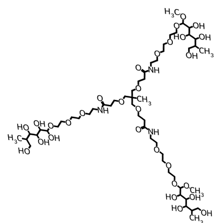 COC(OCCOCCOCCNC(=O)CCOCC(C)(COCCC(=O)NCCOCCOCCOC(O)C(O)C(O)C(O)C(C)CO)COCCC(=O)NCCOCCOCCOC(OC)C(O)C(O)C(O)C(C)CO)C(O)C(O)C(O)C(C)CO